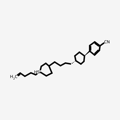 C=CCCC[SiH]1CCC(CCCC[C@H]2CC[C@H](c3ccc(C#N)cc3)CC2)CC1